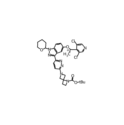 C[C@@H](Oc1ccc2c(c1)c(-c1ccc(N3CC4(CCN4C(=O)OC(C)(C)C)C3)nn1)nn2C1CCCCO1)c1c(Cl)cncc1Cl